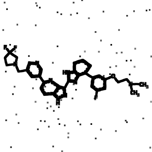 CN(C)CCOc1cc(F)cc(-c2cccc3[nH]c(-c4n[nH]c5ccc(-c6cncc(CN7CCC(F)(F)C7)c6)nc45)nc23)c1